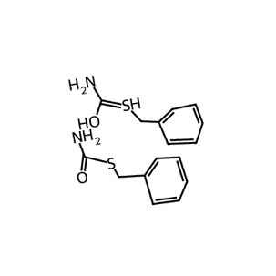 NC(=O)SCc1ccccc1.NC(O)=[SH]Cc1ccccc1